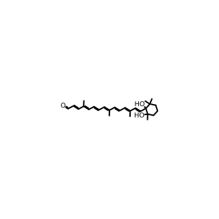 CC(/C=C/C=O)=C\C=C\C=C(C)\C=C\C=C(C)\C=C\C1(O)C(C)(C)CCCC1(C)O